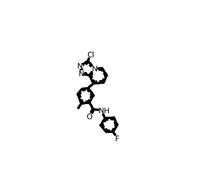 Cc1ccc(-c2cccn3c(Cl)nnc23)cc1C(=O)Nc1ccc(F)cc1